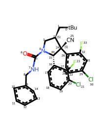 CC(C)(C)C[C@@H]1CN(C(=O)NCc2ccccc2)[C@@H](c2cccc(Cl)c2F)[C@@]1(C#N)c1ccc(Cl)cc1F